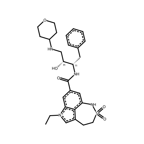 CCn1cc2c3c(cc(C(=O)N[C@@H](Cc4ccccc4)[C@H](O)CNC4CCOCC4)cc31)NS(=O)(=O)CC2